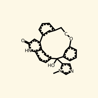 Cn1cncc1C1(O)c2cccc(c2)OCCc2cccc(c2)-c2cc(=O)[nH]c3ccc1cc23